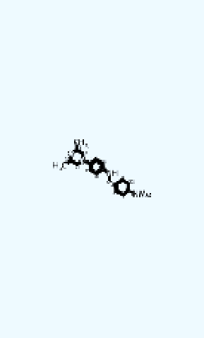 CN[C@H]1CC[C@H](CNc2ccc(N3CC(C)OC(C)C3)cc2)CC1